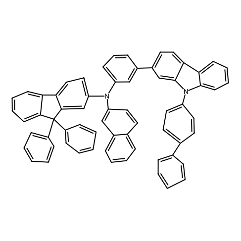 c1ccc(-c2ccc(-n3c4ccccc4c4ccc(-c5cccc(N(c6ccc7c(c6)C(c6ccccc6)(c6ccccc6)c6ccccc6-7)c6ccc7ccccc7c6)c5)cc43)cc2)cc1